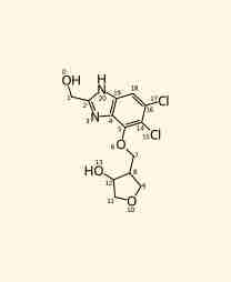 OCc1nc2c(OCC3COCC3O)c(Cl)c(Cl)cc2[nH]1